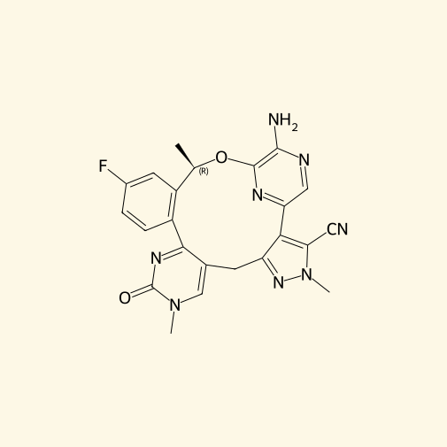 C[C@H]1Oc2nc(cnc2N)-c2c(nn(C)c2C#N)Cc2cn(C)c(=O)nc2-c2ccc(F)cc21